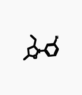 CCC1CC(C)ON1c1cccc(F)c1